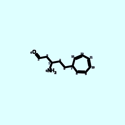 NC(CC=O)CCC1C=CC=CC=C1